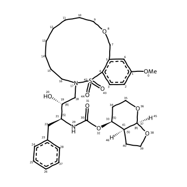 COc1ccc2c(c1)COCCCCCCCCN(C[C@@H](O)[C@H](Cc1ccccc1)NC(=O)O[C@H]1CCO[C@H]3OCC[C@H]31)S2(=O)=O